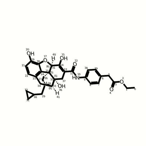 CCOC(=O)Cc1ccc(NC(=O)C2=C(O)[C@@H]3Oc4c(O)ccc5c4[C@@]34CCN(CC3CC3)[C@H](C5)[C@]4(O)C2)cc1